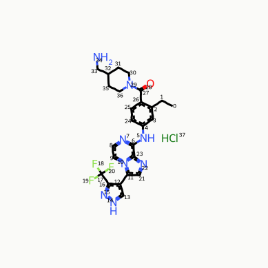 CCc1cc(Nc2nccn3c(-c4c[nH]nc4C(F)(F)F)cnc23)ccc1C(=O)N1CCC(CN)CC1.Cl